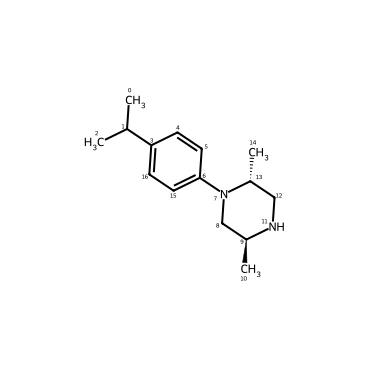 CC(C)c1ccc(N2C[C@H](C)NC[C@H]2C)cc1